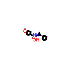 COc1ccc([C@H](CO)NC(=O)[C@H]2C[C@@H]2c2ccccc2)cc1